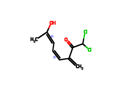 C=C(/C=C\C=C(/C)O)C(=O)C(Cl)Cl